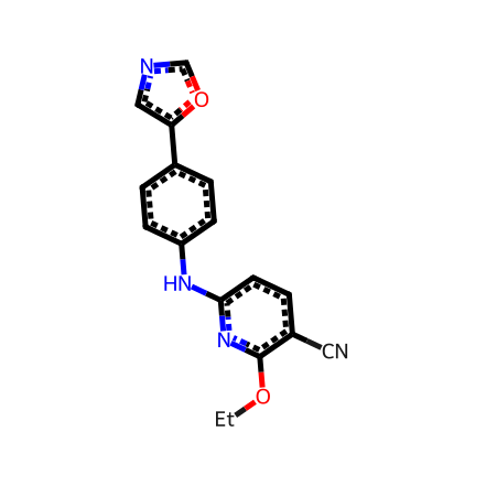 CCOc1nc(Nc2ccc(-c3cnco3)cc2)ccc1C#N